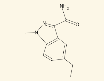 CCc1ccc2c(c1)c(C(N)=O)nn2C